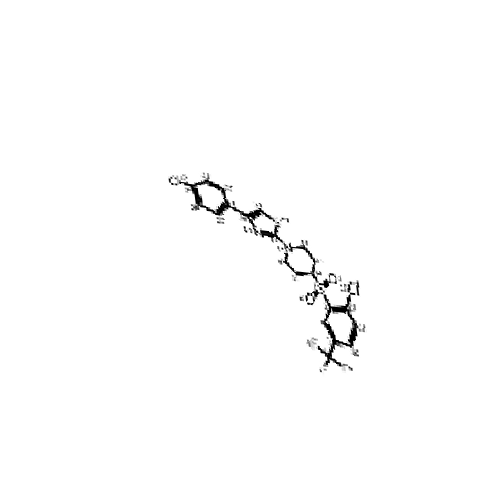 O=S(=O)(c1cc(C(F)(F)F)ccc1Cl)C1CCN(c2nc(-c3ccc(Cl)cc3)cs2)CC1